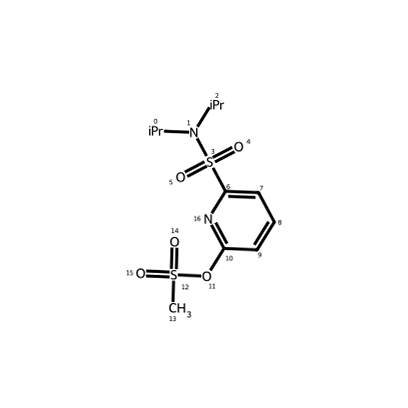 CC(C)N(C(C)C)S(=O)(=O)c1cccc(OS(C)(=O)=O)n1